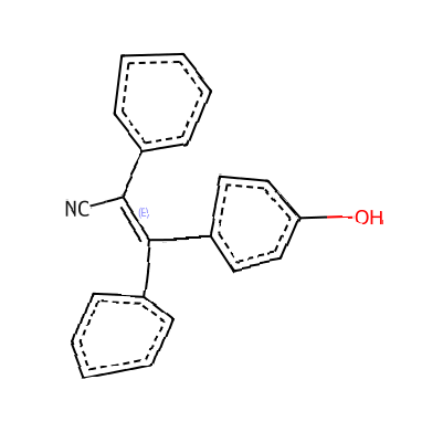 N#C/C(=C(\c1ccccc1)c1ccc(O)cc1)c1ccccc1